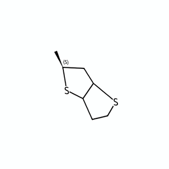 C[C@H]1CC2SCCC2S1